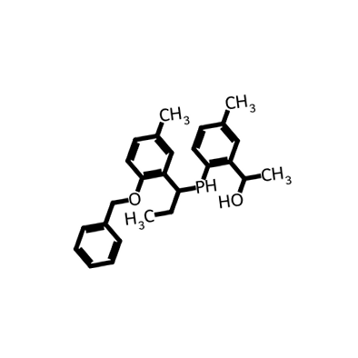 CCC(Pc1ccc(C)cc1C(C)O)c1cc(C)ccc1OCc1ccccc1